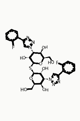 OC[C@H]1O[C@@H](S[C@@H]2O[C@H](CO)[C@H](O)[C@@H](n3cc(-c4ccccc4F)nn3)[C@H]2O)[C@H](O)[C@H](n2cc(-c3ccccc3F)nn2)[C@H]1O